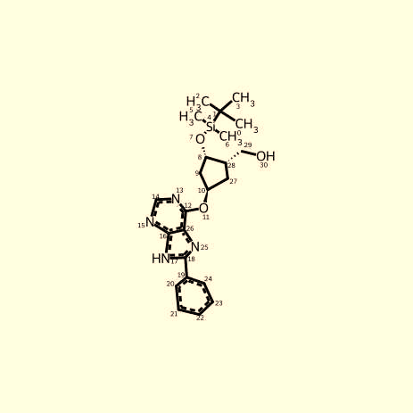 CC(C)(C)[Si](C)(C)O[C@H]1C[C@H](Oc2ncnc3[nH]c(-c4ccccc4)nc23)C[C@H]1CO